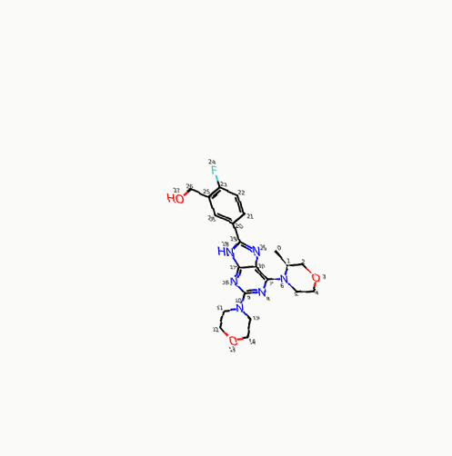 C[C@H]1COCCN1c1nc(N2CCOCC2)nc2[nH]c(-c3ccc(F)c(CO)c3)nc12